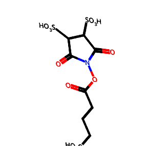 O=C(O)CCCC(=O)ON1C(=O)C(S(=O)(=O)O)C(S(=O)(=O)O)C1=O